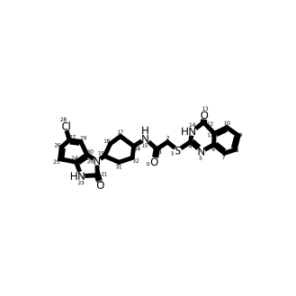 O=C(CSc1nc2ccccc2c(=O)[nH]1)NC1CCC(n2c(=O)[nH]c3ccc(Cl)cc32)CC1